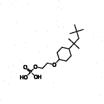 CC(C)(C)CC(C)(C)C1CCC(OCCOP(=O)(O)O)CC1